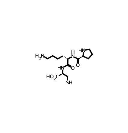 NCCCC[C@H](NC(=O)[C@@H]1CCCN1)C(=O)N[C@@H](CS)C(=O)O